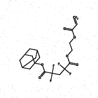 C=CC(=O)OCCOC(=O)C(F)(F)CC(F)(F)C(=O)OC12CC3CC(CC(C3)C1)C2